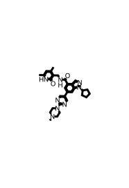 Cc1cc(C)c(CNC(=O)c2cc(-c3cnc(N4CCN(C)CC4)nc3)cc3c2cnn3C2CCCC2)c(=O)[nH]1